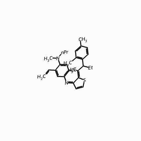 C=Cc1cc(/N=C2/C=CS/C2=C(/C)C(CC)c2ccc(C)cc2C)c(CC)cc1N(C)CCC